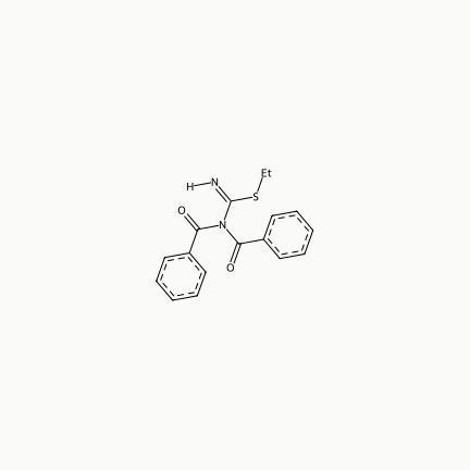 [H]/N=C(/SCC)N(C(=O)c1ccccc1)C(=O)c1ccccc1